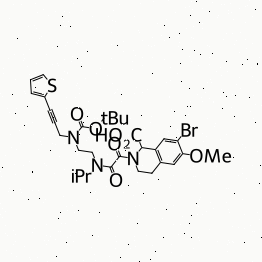 COc1cc2c(cc1Br)C(C(=O)O)N(C(=O)C(=O)N(CCN(CC#Cc1cccs1)C(=O)OC(C)(C)C)C(C)C)CC2